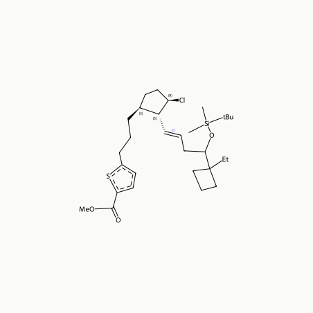 CCC1(C(C/C=C/[C@@H]2[C@@H](CCCc3ccc(C(=O)OC)s3)CC[C@H]2Cl)O[Si](C)(C)C(C)(C)C)CCC1